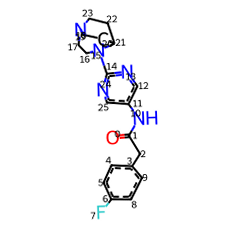 O=C(Cc1ccc(F)cc1)Nc1cnc(N2CCN3CCC2CC3)nc1